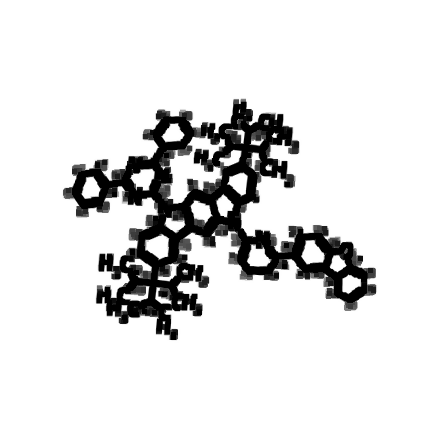 CC(C)C(c1ccc2c(c1)c1cc3c(cc1n2-c1cccc(-c2ccc4oc5ccccc5c4c2)n1)c1cc(C(C(C)C)(C(C)C)C(C)C)ccc1n3-c1nc(-c2ccccc2)nc(-c2ccccc2)n1)(C(C)C)C(C)C